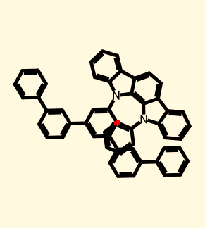 c1ccc(-c2cccc(-c3cc(-c4cccc(-c5ccccc5)c4)cc(-n4c5ccccc5c5ccc6c7ccccc7n(-c7ccccc7)c6c54)c3)c2)cc1